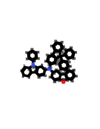 C1=CC2C(CC1)C1=C(CC(N(c3ccc4c(c3)C(c3ccccc3)(c3ccccc3)c3ccccc3-4)C3CC=C4Oc5ccccc5C4C3)C=C1)N2c1ccccc1